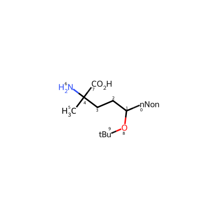 CCCCCCCCCC(CCC(C)(N)C(=O)O)OC(C)(C)C